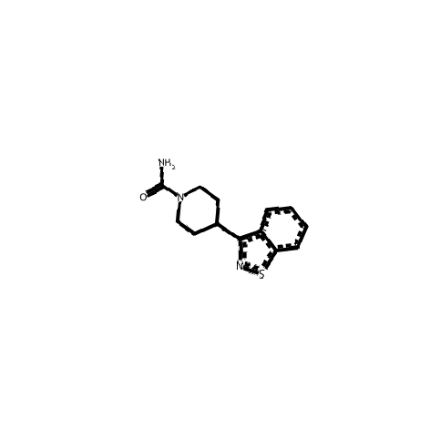 NC(=O)N1CCC(c2nsc3ccccc23)CC1